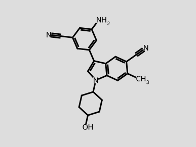 Cc1cc2c(cc1C#N)c(-c1cc(N)cc(C#N)c1)cn2C1CCC(O)CC1